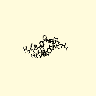 C=C(C)NCc1ccc(C(=O)NCC2CCC(CC(C)NCc3ccc(C(=O)NCCO)cc3)O2)cc1